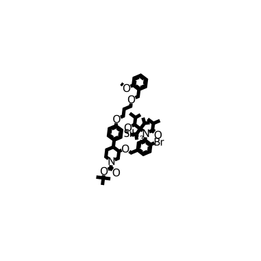 COc1ccccc1COCCCOc1ccc(C2CCN(C(=O)OC(C)(C)C)CC2OCc2ccc(Br)c(N(C(=O)C(C)C)C(C(C)C)(C(C)C)C(O[SiH3])C(C)C)c2)cc1